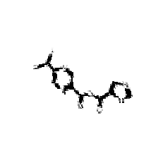 O=C(OC(=O)c1cnco1)c1cnc(C(F)F)cn1